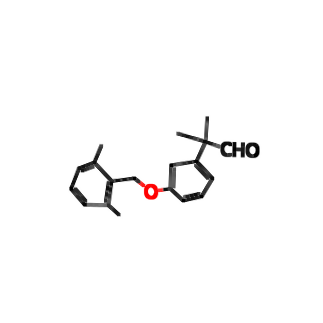 Cc1cccc(C)c1COc1cccc(C(C)(C)C=O)c1